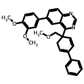 COCC1(c2ncnc3ccc(-c4ccc(OC)c(OC)c4)cc23)C=CC(c2ccccc2)=CC1